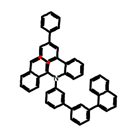 c1ccc(-c2cccc(-c3ccccc3N(c3cccc(-c4cccc(-c5cccc6ccccc56)c4)c3)c3cccc4ccccc34)c2)cc1